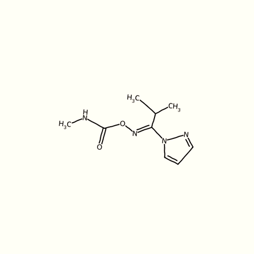 CNC(=O)ON=C(C(C)C)n1cccn1